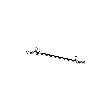 CNC(=O)C(=O)NCCCCCCCCCCCCCCCC(=O)OC